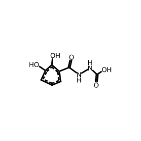 O=C(O)NNC(=O)c1cccc(O)c1O